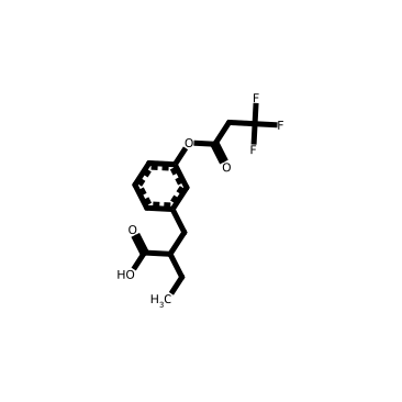 CCC(Cc1cccc(OC(=O)CC(F)(F)F)c1)C(=O)O